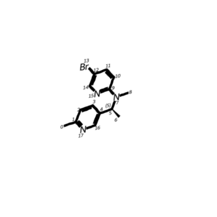 Cc1ccc([C@H](C)N(C)c2ccc(Br)cn2)cn1